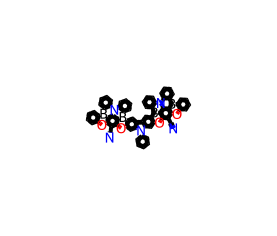 N#Cc1c2c3c4c5c1Oc1cc6c(cc1B5c1ccccc1N4c1ccccc1B3c1ccccc1O2)c1cc2c(cc1n6-c1ccccc1)Oc1c(C#N)c3c4c5c1B2c1ccccc1N5c1ccccc1B4c1ccccc1O3